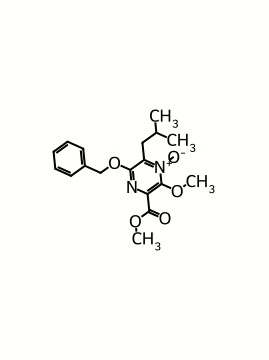 COC(=O)c1nc(OCc2ccccc2)c(CC(C)C)[n+]([O-])c1OC